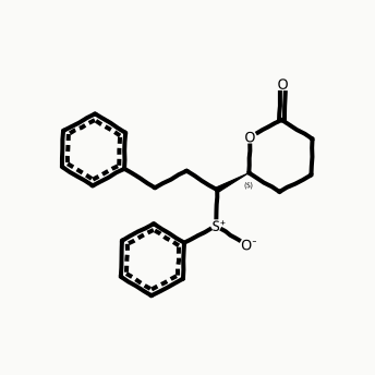 O=C1CCC[C@@H](C(CCc2ccccc2)[S+]([O-])c2ccccc2)O1